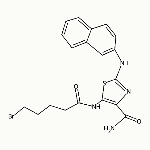 NC(=O)c1nc(Nc2ccc3ccccc3c2)sc1NC(=O)CCCCBr